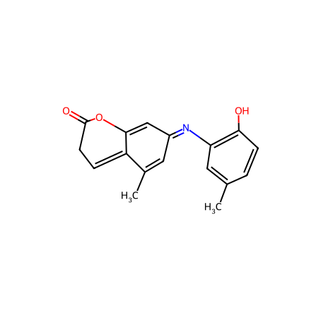 CC1=CC(=Nc2cc(C)ccc2O)C=C2OC(=O)CC=C12